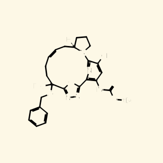 CC(C)(C)OC(=O)Nc1cc(C(F)(F)F)c2nc1-c1nnc(o1)C(OCc1ccccc1)(C(F)(F)F)CCC=CC[C@@H]1CCCN21